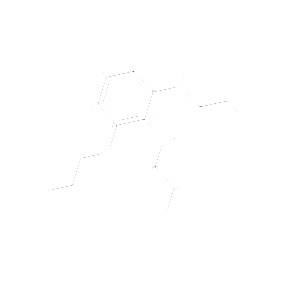 OCCOc1cccc(OCCO)c1OCCO